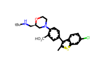 Cc1sc2cc(Cl)ccc2c1-c1ccc(N2CCO[C@H](CNC(C)(C)C)C2)c(C(=O)O)c1